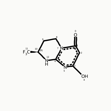 O=c1cc(O)nc2n1CC[C@H](C(F)(F)F)N2